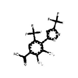 Cc1c(N)c(C(=O)O)cc(C(F)(F)F)c1-c1cc(C(F)(F)F)ns1